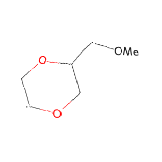 COCC1CO[CH]CO1